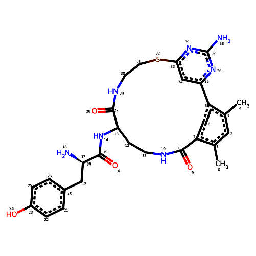 Cc1cc(C)c2cc1C(=O)NCCC(NC(=O)[C@H](N)Cc1ccc(O)cc1)C(=O)NCCSc1cc-2nc(N)n1